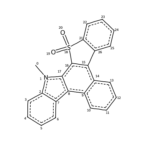 Cn1c2ccccc2c2c3ccccc3c3c(c21)S(=O)(=O)c1ccccc1-3